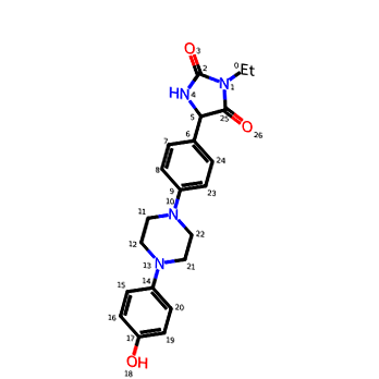 CCN1C(=O)NC(c2ccc(N3CCN(c4ccc(O)cc4)CC3)cc2)C1=O